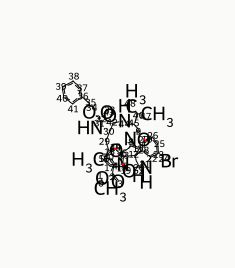 COC(=O)c1nc(-c2nc3oc2C24c5cc(ccc5O[C@@H]2Nc2c(Br)cccc24)C[C@H](NC(=O)OCc2ccccc2)C(=O)N[C@H]3C(C)C)oc1C